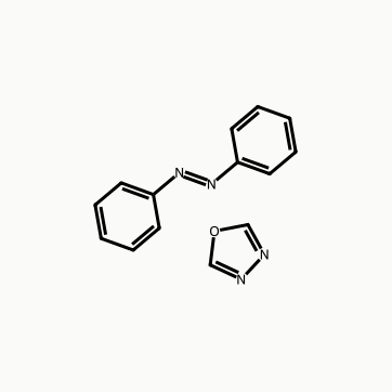 c1ccc(N=Nc2ccccc2)cc1.c1nnco1